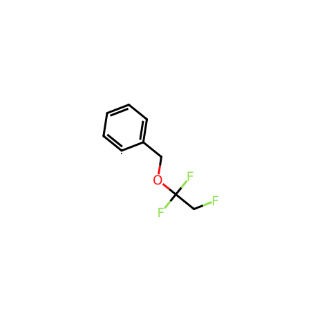 FCC(F)(F)OCc1[c]cccc1